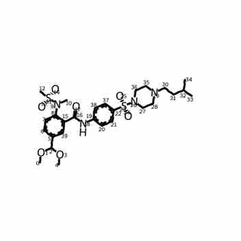 COC(OC)c1ccc(N(C)S(C)(=O)=O)c(C(=O)Nc2ccc(S(=O)(=O)N3CCN(CCC(C)C)CC3)cc2)c1